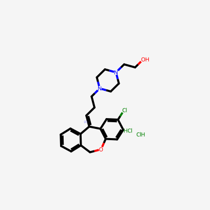 Cl.Cl.OCCN1CCN(CC/C=C2/c3ccccc3COc3ccc(Cl)cc32)CC1